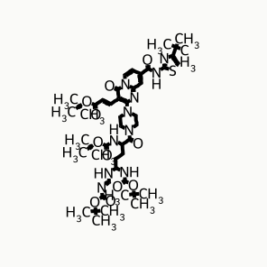 CC(C)(C)OC(=O)C=Cc1c(N2CCN(C(=O)C(CCC(NC=NC(=O)OC(C)(C)C)NC(=O)OC(C)(C)C)NC(=O)OC(C)(C)C)CC2)nc2cc(C(=O)Nc3nc(C(C)(C)C)cs3)ccn2c1=O